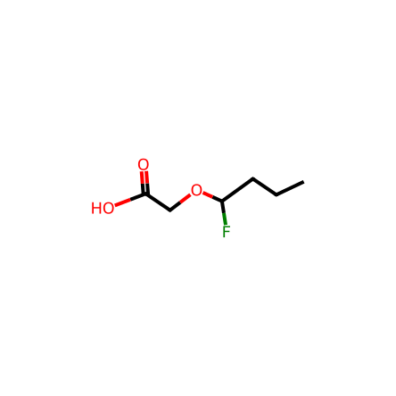 CCCC(F)OCC(=O)O